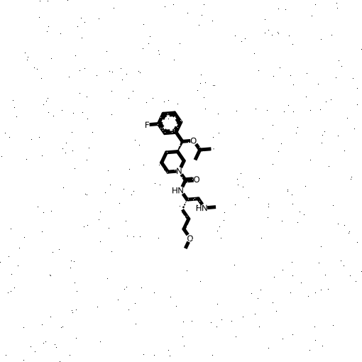 [CH2]C(C)OC(c1cccc(F)c1)[C@@H]1CCCN(C(=O)N[C@@H](CCCOC)CNC)C1